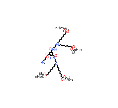 CCCCCCC(CC)OC(=O)CCCCCCCCN(CCCCCCCCC(=O)OC(CC)CCCCCC)CCCNC(=O)c1cc(C(=O)NCCCN(CCCCCCCCC(=O)OC(CC)CCCCCC)CCCCCCCCC(=O)OC(CC)CCCCCC)cc(C(=O)OCCCN(C)C)c1